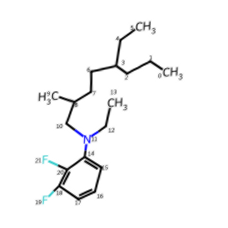 CCCC(CC)CCC(C)CN(CC)c1cccc(F)c1F